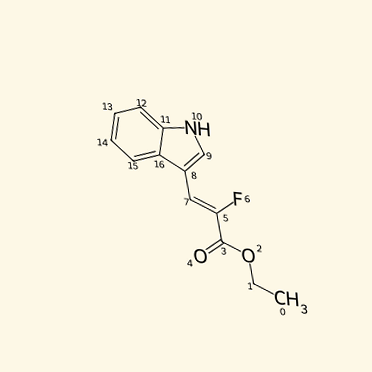 CCOC(=O)/C(F)=C/c1c[nH]c2ccccc12